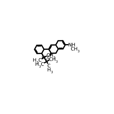 C=C1CC2=CC(NC)=CCC2C=C1C1C=CC=CC1C(C)(C)C(C)(C)C